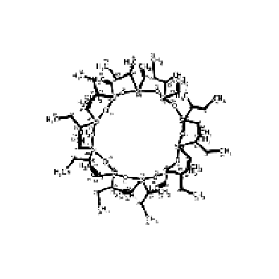 C=C[Si]1(C(C)CC)O[Si](C=C)(C(C)CC)O[Si](C=C)(C(C)CC)O[Si](C=C)(C(C)CC)O[Si](C=C)(C(C)CC)O[Si](C=C)(C(C)CC)O[Si](C=C)(C(C)CC)O[Si](C=C)(C(C)CC)O[Si](C=C)(C(C)CC)O[Si](C=C)(C(C)CC)O1